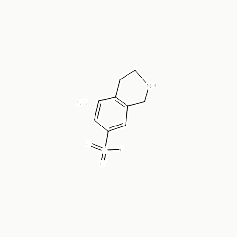 Cl.O=S(=O)(F)c1ccc2c(c1)CNCC2